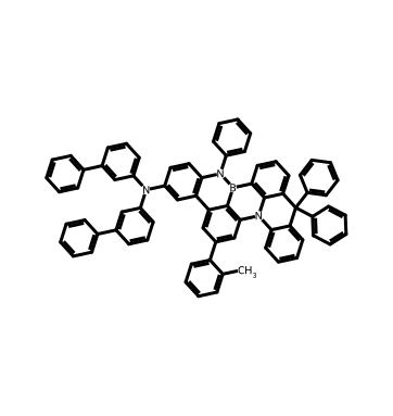 Cc1ccccc1-c1cc2c3c(c1)N1c4ccccc4C(c4ccccc4)(c4ccccc4)c4cccc(c41)B3N(c1ccccc1)c1ccc(N(c3cccc(-c4ccccc4)c3)c3cccc(-c4ccccc4)c3)cc1-2